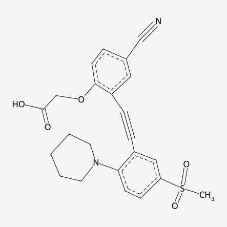 CS(=O)(=O)c1ccc(N2CCCCC2)c(C#Cc2cc(C#N)ccc2OCC(=O)O)c1